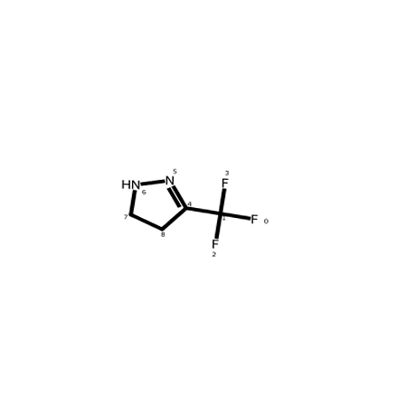 FC(F)(F)C1=NNCC1